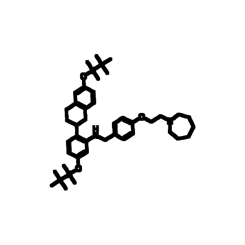 CC(C)(C)[Si](C)(C)Oc1ccc2c(c1)CCC(c1ccc(O[Si](C)(C)C(C)(C)C)cc1NCc1ccc(OCCN3CCCCCC3)cc1)C2